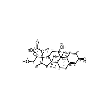 CCCCC(=O)O[C@]1(C(=O)CO)C(C)C[C@H]2[C@@H]3CCC4=CC(=O)C=C[C@]4(C)[C@H]3C(O)C[C@@]21C